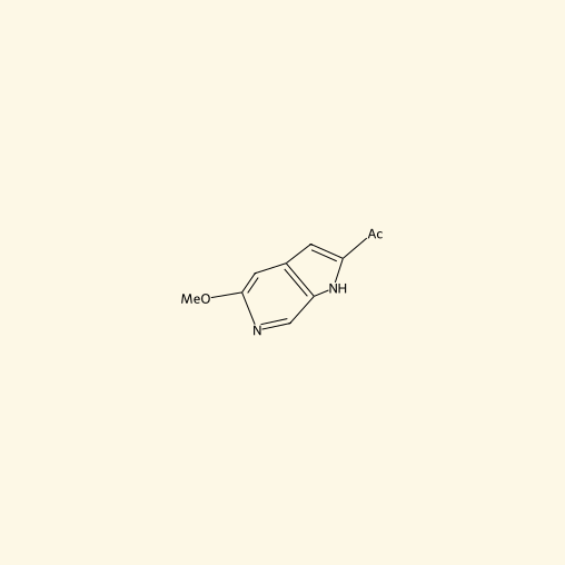 COc1cc2cc(C(C)=O)[nH]c2cn1